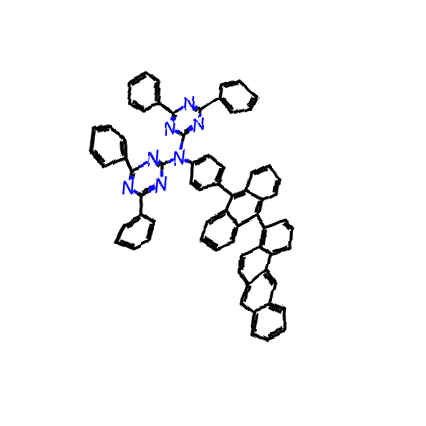 c1ccc(-c2nc(-c3ccccc3)nc(N(c3ccc(-c4c5ccccc5c(-c5cccc6c5ccc5cc7ccccc7cc56)c5ccccc45)cc3)c3nc(-c4ccccc4)nc(-c4ccccc4)n3)n2)cc1